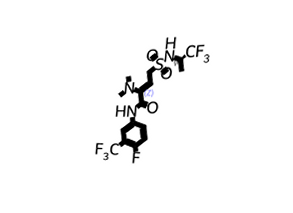 C[C@@H](NS(=O)(=O)C/C=C(/C(=O)Nc1ccc(F)c(C(F)(F)F)c1)N(C)C)C(F)(F)F